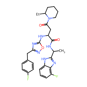 CCC1CCCCN1C(=O)CC(Nc1nc(Cc2ccc(F)cc2)no1)C(=O)NC(C)c1nc2c(F)cccc2[nH]1